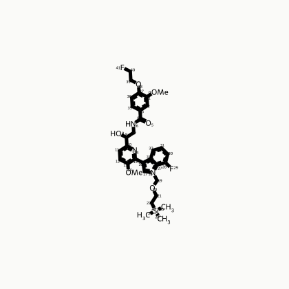 COc1cc(C(=O)NCC(O)c2ccc(OC)c(-c3cn(COCC[Si](C)(C)C)c4c(F)cccc34)n2)ccc1OCCF